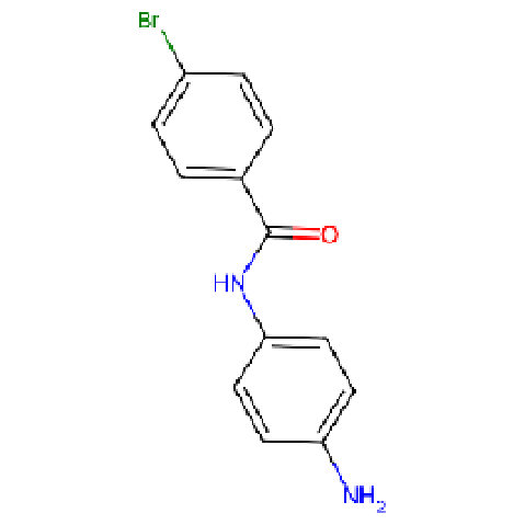 Nc1ccc(NC(=O)c2ccc(Br)cc2)cc1